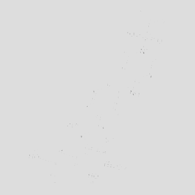 CC(C)S(=O)(=O)N1CCC(Nc2cccc(-c3sc(C(=O)O)c(OCC(=O)O)c3Cl)c2)CC1